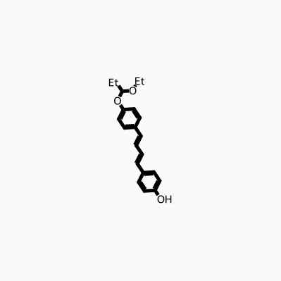 CCOC(CC)Oc1ccc(C=CC=Cc2ccc(O)cc2)cc1